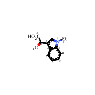 CCn1cc(C(=O)C(=O)O)c2ccccc21